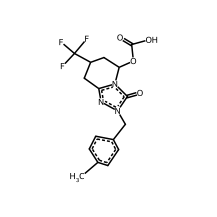 Cc1ccc(Cn2nc3n(c2=O)C(OC(=O)O)CC(C(F)(F)F)C3)cc1